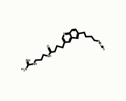 N=C(N)NCCCNC(=O)CCCc1cnc2ccc(CCCCN=C=S)cc2c1